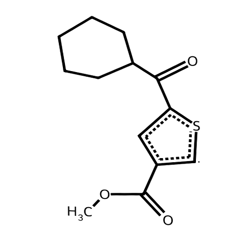 COC(=O)c1[c]sc(C(=O)C2CCCCC2)c1